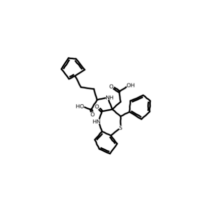 O=C(O)CC1(NC(CCc2ccccc2)C(=O)O)C(=O)Nc2ccccc2SC1c1ccccc1